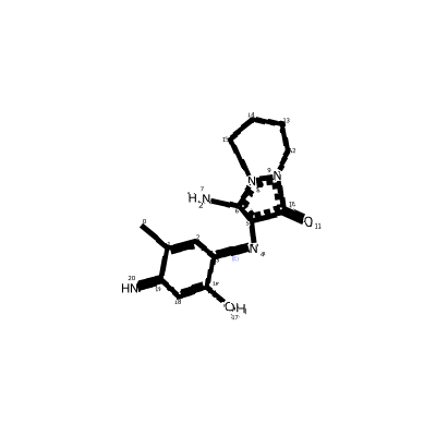 CC1=C/C(=N\c2c(N)n3n(c2=O)CCCC3)C(O)=CC1=N